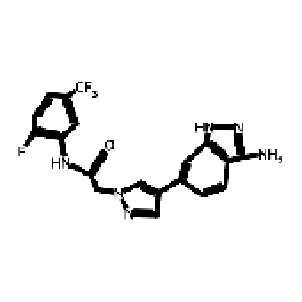 Nc1n[nH]c2cc(-c3cnn(CC(=O)Nc4cc(C(F)(F)F)ccc4F)c3)ccc12